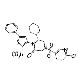 O=C(O)c1sc(-c2ccccc2)cc1N1C(=O)CN(S(=O)(=O)c2ccc(Cl)nc2)CC1C1CCCCC1